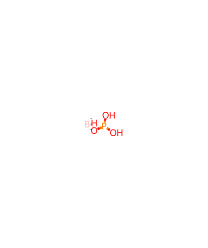 OP(O)O.[B]